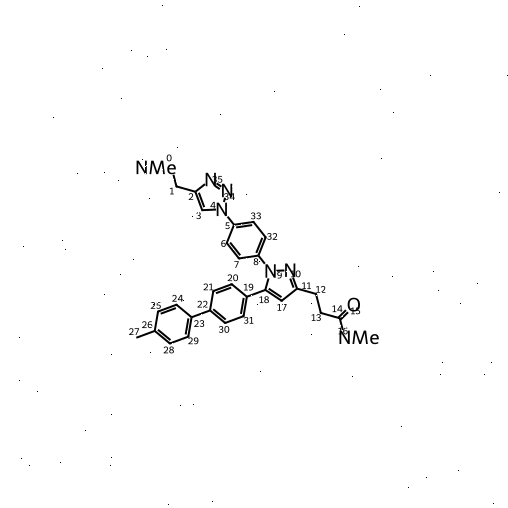 CNCc1cn(-c2ccc(-n3nc(CCC(=O)NC)cc3-c3ccc(-c4ccc(C)cc4)cc3)cc2)nn1